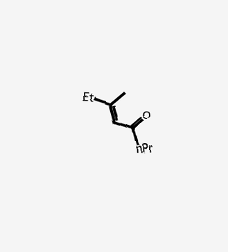 CCCC(=O)/C=C(\C)CC